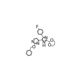 Fc1ccc(-c2nc(C3OCCCO3)[nH]c2-c2ccnc(OCc3ccccc3)n2)cc1